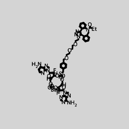 B[P@]1(=O)OC[C@H]2O[C@@H](n3cnc4c(N)ccnc43)[C@H](F)[C@@H]2O[P@](=O)(SCc2ccc(COCCOCCOCCn3nnc4c3-c3ccccc3CN(C(=O)CC)c3ccccc3-4)cc2)OC[C@H]2O[C@@H](n3cnc4c(N)ncnc43)[C@H](F)[C@@H]2O1